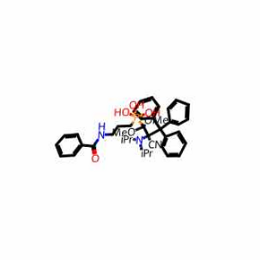 COC(OC)(C(C#N)(N(C(C)C)C(C)C)C(c1ccccc1)(c1ccccc1)c1ccccc1)P(O)(O)(O)CCCNC(=O)c1ccccc1